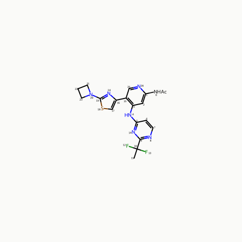 CC(=O)Nc1cc(Nc2ccnc(C(C)(F)F)n2)c(-c2csc(N3CCC3)n2)cn1